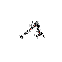 CC(C)[C@H](NC(=O)CCOCCOCCOCCOCCOCCOCCOCCOCCNC(=O)CI)C(=O)N[C@@H](CCCNC(N)=O)C(=O)Nc1ccc(COC(=O)NCCNC(=O)OC(C)(C)C)cc1